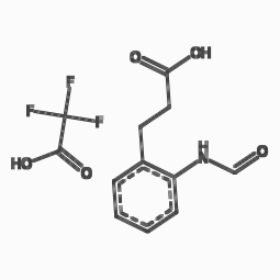 O=C(O)C(F)(F)F.O=CNc1ccccc1CCC(=O)O